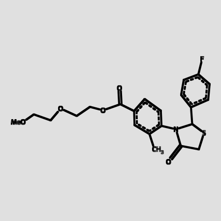 COCCOCCOC(=O)c1ccc(N2C(=O)CSC2c2ccc(F)cc2)c(C)c1